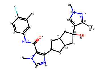 Cc1cc(NC(=O)c2c(C3CC4CC(O)(c5cn(C)nc5C(F)(F)F)CC4C3)ncn2C)ccc1F